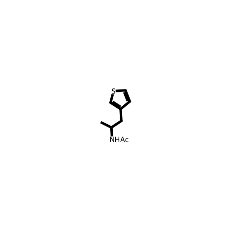 CC(=O)NC(C)Cc1ccsc1